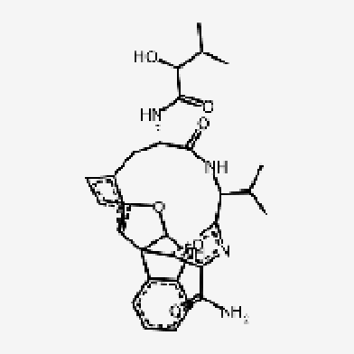 CC(C)[C@H](O)C(=O)N[C@H]1Cc2ccc3c(c2)C2(c4ccccc4NC2O3)c2oc(nc2C(N)=O)[C@H](C(C)C)NC1=O